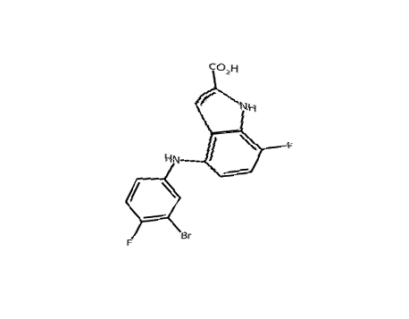 O=C(O)c1cc2c(Nc3ccc(F)c(Br)c3)ccc(F)c2[nH]1